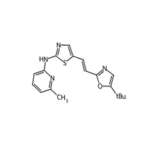 Cc1cccc(Nc2ncc(C=Cc3ncc(C(C)(C)C)o3)s2)n1